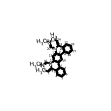 C/C=C1/c2ccccc2-c2cc3c(cc2N1/C=N/C)N(/C=N/C)/C(=C\C)c1ccccc1-3